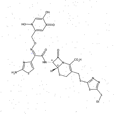 CCSc1nnc(SCC2=C(C(=O)O)N3C(=O)[C@@H](NC(=O)/C(=N\OCc4cc(=O)c(O)cn4O)c4csc(N)n4)[C@H]3SC2)s1